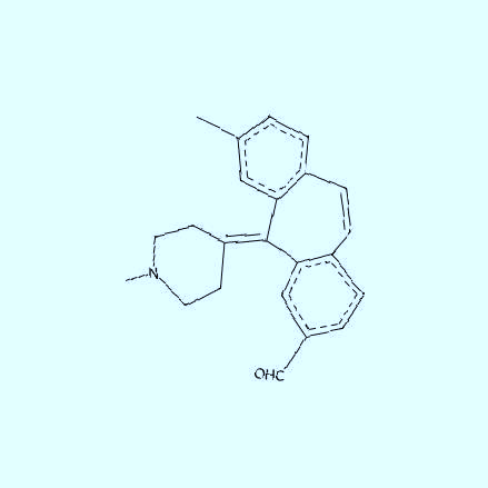 Cc1ccc2c(c1)C(=C1CCN(C)CC1)c1cc(C=O)ccc1C=C2